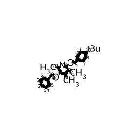 Cc1nc(OCc2ccc(C(C)(C)C)cc2)c(C)c(C)c1OCc1ccccc1